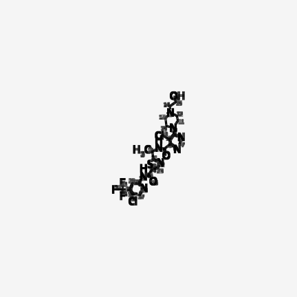 CC(NC(=O)c1ncnc(N2CCN(CCO)CC2)c1Cl)c1ncc(C(=O)Nc2cc(C(F)(F)F)c(Cl)cn2)s1